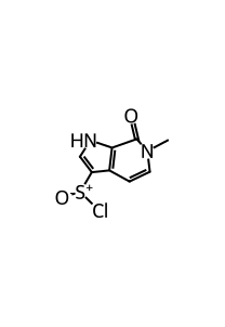 Cn1ccc2c([S+]([O-])Cl)c[nH]c2c1=O